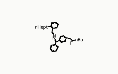 CCCCCCCc1ccccc1C=NN=C(c1ccccc1)c1ccc(CC(F)CCCC)cc1